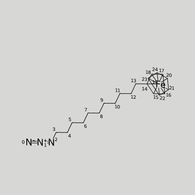 [N-]=[N+]=NCCCCCCCCCCC[C]12[CH]3[CH]4[CH]5[CH]1[Fe]45321678[CH]2[CH]1[CH]6[CH]7[CH]28